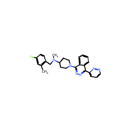 Cc1cc(F)ccc1CN(C)C1CCN(c2nnc(-c3cccnn3)c3ccccc23)CC1